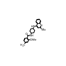 COc1cc(C)ccc1C(=O)NC1CCC(Nc2cc(C(C)(C)C)nc3ccccc23)CC1